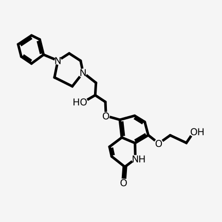 O=c1ccc2c(OCC(O)CN3CCN(c4ccccc4)CC3)ccc(OCCO)c2[nH]1